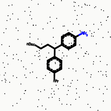 CCCCCCCCCCCCC(c1ccc(N)cc1)c1ccc(CCC)cc1